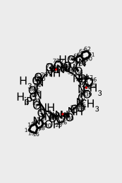 CC(C)[C@H]1C(=O)NC[C@@H](NC(=O)c2nc3ccccc3cc2O)C(=O)N2CCCC[C@H]2C(=O)NCC(=O)N(C)CC(=O)N(C)[C@@H](C2CCCCC2)C(=O)NC[C@@H](NC(=O)c2nc3ccccc3cc2O)C(=O)N2CCCC[C@H]2C(=O)NCC(=O)N(C)CC(=O)N1C